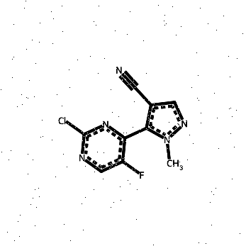 Cn1ncc(C#N)c1-c1nc(Cl)ncc1F